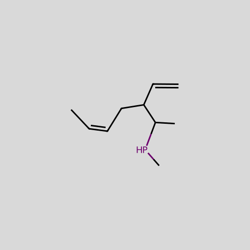 C=CC(C/C=C\C)C(C)PC